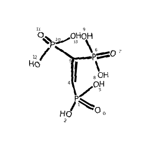 O=P(O)(O)C=C(P(=O)(O)O)P(=O)(O)O